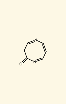 O=C1CC=NC=CC=N1